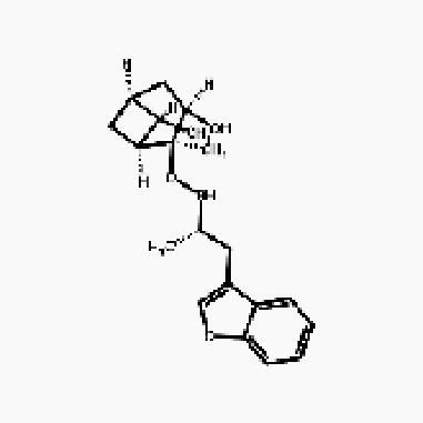 C[C@@H]1[C@@H]2C[C@@H](O)[C@@](C)(OB[C@@H](C)Cc3coc4ccccc34)[C@H]1C2